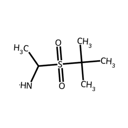 CC([NH])S(=O)(=O)C(C)(C)C